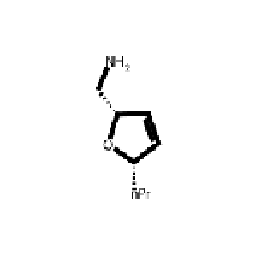 CCC[C@H]1C=C[C@@H](CN)O1